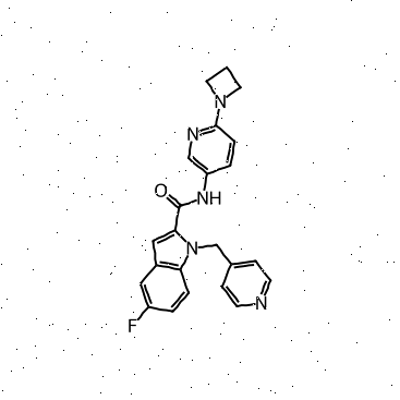 O=C(Nc1ccc(N2CCC2)nc1)c1cc2cc(F)ccc2n1Cc1ccncc1